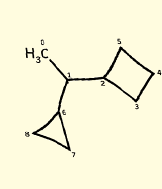 C[C](C1CCC1)C1CC1